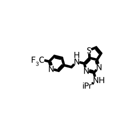 CC(C)Nc1nc(NCc2ccc(C(F)(F)F)nc2)c2sccc2n1